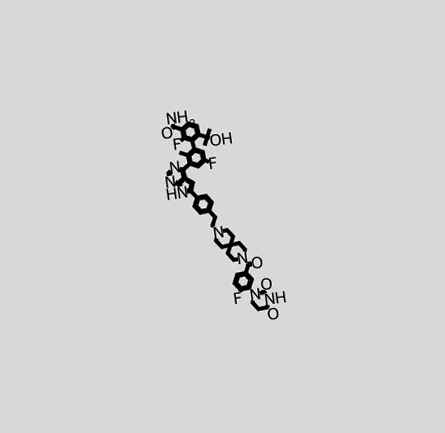 Cc1c(-c2c(C(C)(C)O)ccc(C(N)=O)c2F)cc(F)cc1-c1ncnc2[nH]c(-c3ccc(CCN4CCC5(CC4)CCN(C(=O)c4ccc(F)c(N6CCC(=O)NC6=O)c4)CC5)cc3)cc12